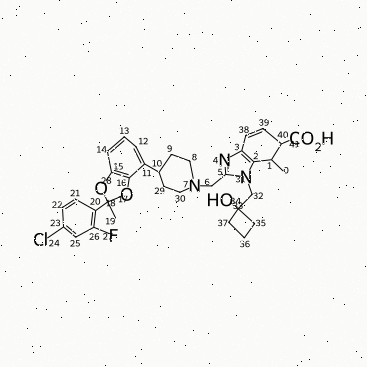 CC1c2c(nc(CN3CCC(c4cccc5c4OC(C)(c4ccc(Cl)cc4F)O5)CC3)n2CC2(O)CCC2)C=CC1C(=O)O